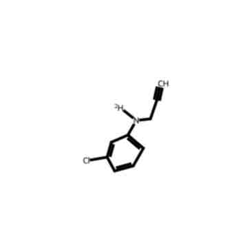 [2H]N(CC#C)c1cccc(Cl)c1